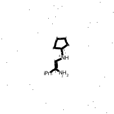 CC(C)/C(N)=C/NC1CCCC1